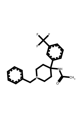 CC(=O)NC1(c2cccc(C(F)(F)F)c2)CCN(Cc2ccccc2)CC1